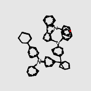 c1ccc(N(c2ccc(C3CCCCC3)cc2)c2ccc(C3(c4ccc(N(c5ccccc5)c5cccc6c7ccccc7n(-c7ccccc7)c56)cc4)CC4CCC3C4)cc2)cc1